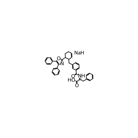 O=C(N[C@@H](Cc1ccccc1)C(=O)O)c1cccc(CC2C=CCCC2c2nc(-c3ccccc3)c(-c3ccccc3)o2)c1.[NaH]